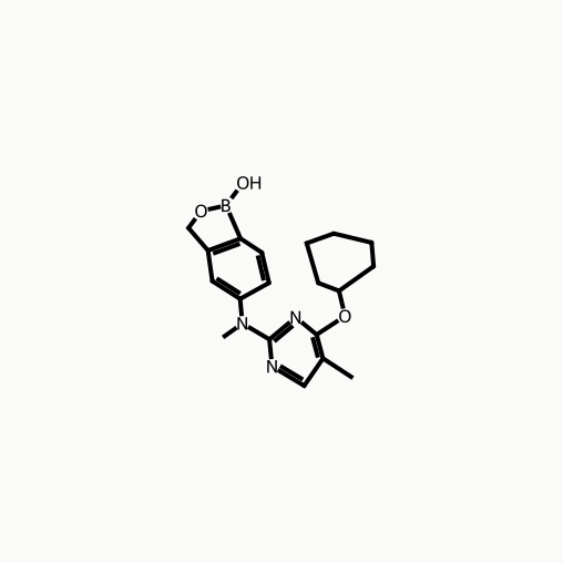 Cc1cnc(N(C)c2ccc3c(c2)COB3O)nc1OC1CCCCC1